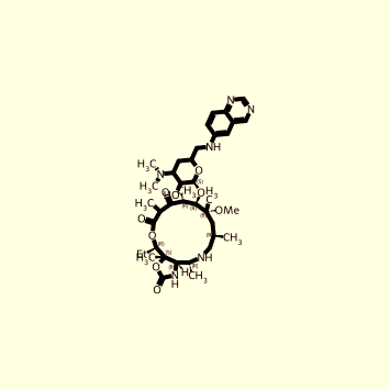 CC[C@H]1OC(=O)C(C)C(=O)[C@H](C)[C@@H](O[C@@H]2OC(CNc3ccc4ncncc4c3)CC(N(C)C)C2O)[C@](C)(OC)C[C@@H](C)CN[C@H](C)[C@H]2NC(=O)O[C@@]21C